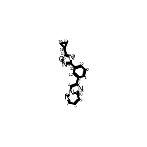 c1cc(-c2cn3ncccc3n2)cc(-c2noc(C3CC3)n2)c1